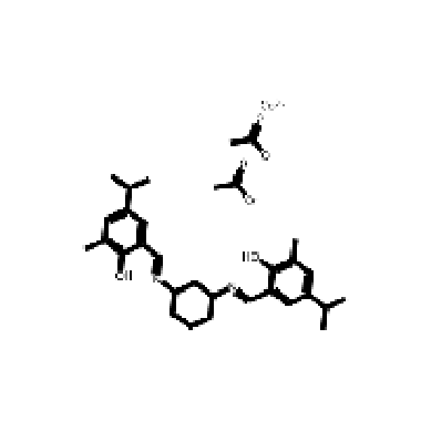 CC(=O)[O-].CC(=O)[O-].Cc1cc(C(C)C)cc(C=NC2CCCC(N=Cc3cc(C(C)C)cc(C)c3O)C2)c1O.[Co+2]